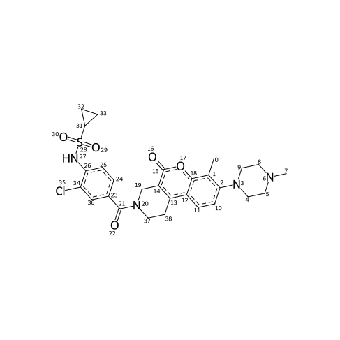 Cc1c(N2CCN(C)CC2)ccc2c3c(c(=O)oc12)CN(C(=O)c1ccc(NS(=O)(=O)C2CC2)c(Cl)c1)CC3